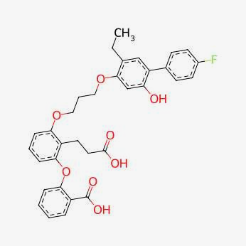 CCc1cc(-c2ccc(F)cc2)c(O)cc1OCCCOc1cccc(Oc2ccccc2C(=O)O)c1CCC(=O)O